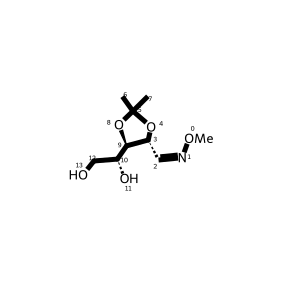 CO/N=C\[C@H]1OC(C)(C)O[C@@H]1[C@H](O)CO